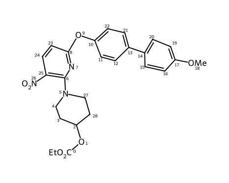 CCOC(=O)OC1CCN(c2nc(Oc3ccc(-c4ccc(OC)cc4)cc3)ccc2[N+](=O)[O-])CC1